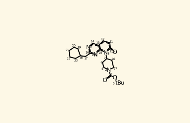 CC(C)(C)OC(=O)N1CCC(n2c(=O)ccc3cnc(CC4CCCCC4)nc32)CC1